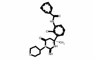 C[C@@]1(c2cccc(NC(=O)c3ccccc3)c2Cl)CC(=O)N(C2CCOCC2)C(=N)N1